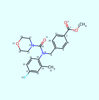 COC(=O)c1ccc(CN(C(=O)N2CCOCC2)c2ccc(F)cc2C)cc1